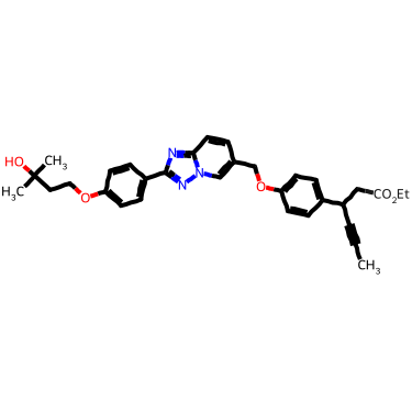 CC#CC(CC(=O)OCC)c1ccc(OCc2ccc3nc(-c4ccc(OCCC(C)(C)O)cc4)nn3c2)cc1